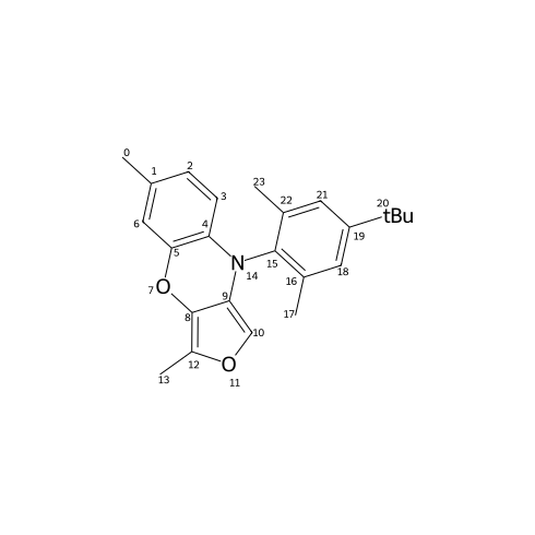 Cc1ccc2c(c1)Oc1c(coc1C)N2c1c(C)cc(C(C)(C)C)cc1C